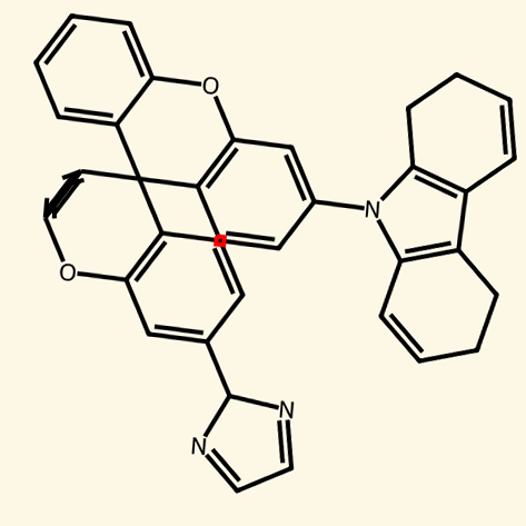 C1=Cc2c(c3c(n2-c2ccc4c(c2)Oc2ccccc2C42c4ccccc4Oc4cc(C5N=CC=N5)ccc42)CCC=C3)CC1